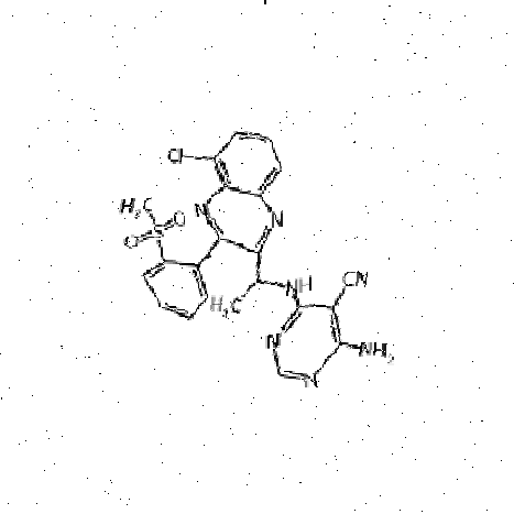 CC(Nc1ncnc(N)c1C#N)c1nc2cccc(Cl)c2nc1-c1ccccc1S(C)(=O)=O